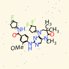 COc1cc(C(=O)N[C@H]2CC[C@@H](F)C2)ccc1Nc1ncc2c(n1)N([C@@H]1CCC(F)(F)C1)CC(C)(C)C(=O)N2C